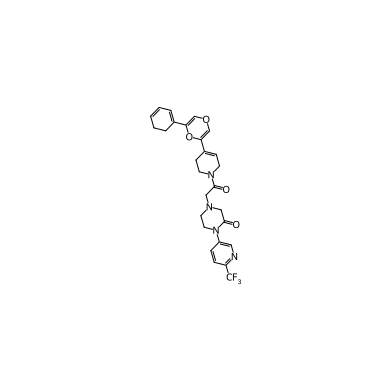 O=C(CN1CCN(c2ccc(C(F)(F)F)nc2)C(=O)C1)N1CC=C(C2=COC=C(C3=CC=CCC3)O2)CC1